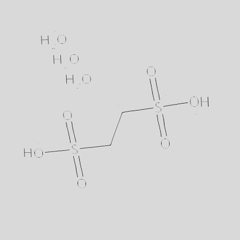 O.O.O.O=S(=O)(O)CCS(=O)(=O)O